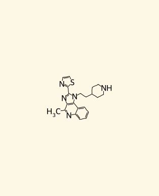 Cc1nc2ccccc2c2c1nc(-c1nccs1)n2CCC1CCNCC1